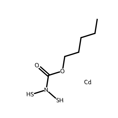 CCCCCOC(=O)N(S)S.[Cd]